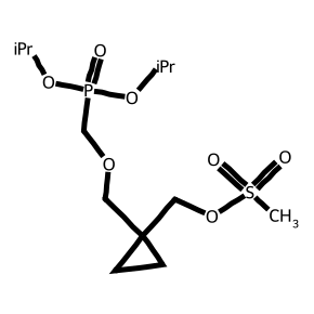 CC(C)OP(=O)(COCC1(COS(C)(=O)=O)CC1)OC(C)C